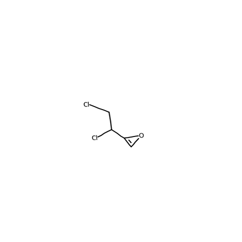 ClCC(Cl)C1=CO1